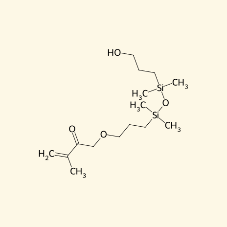 C=C(C)C(=O)COCCC[Si](C)(C)O[Si](C)(C)CCCO